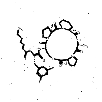 CCCC/C=C/C(=O)N[C@@H](Cc1cc(F)cc(F)c1)C(=O)N[C@H]1COC(=O)[C@@H]2CCCN2C(=O)[C@H](C)NC(=O)[C@@H]2CCCCN2C(=O)[C@@H]2CCCN2C1=O